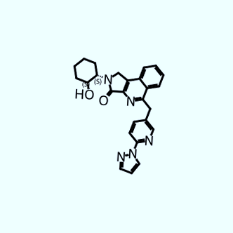 O=C1c2nc(Cc3ccc(-n4cccn4)nc3)c3ccccc3c2CN1[C@H]1CCCC[C@@H]1O